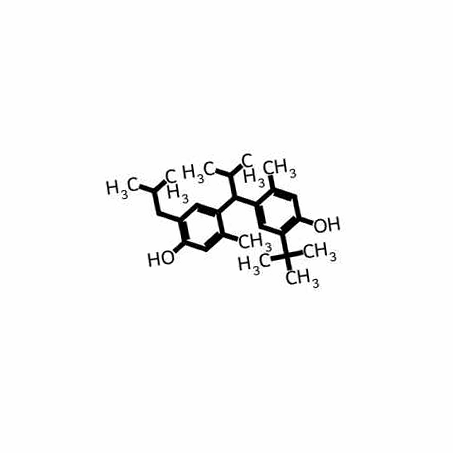 Cc1cc(O)c(CC(C)C)cc1C(c1cc(C(C)(C)C)c(O)cc1C)C(C)C